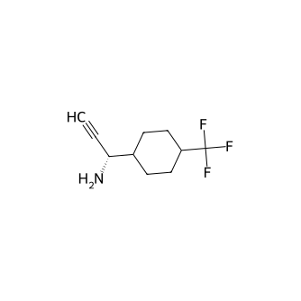 C#C[C@@H](N)C1CCC(C(F)(F)F)CC1